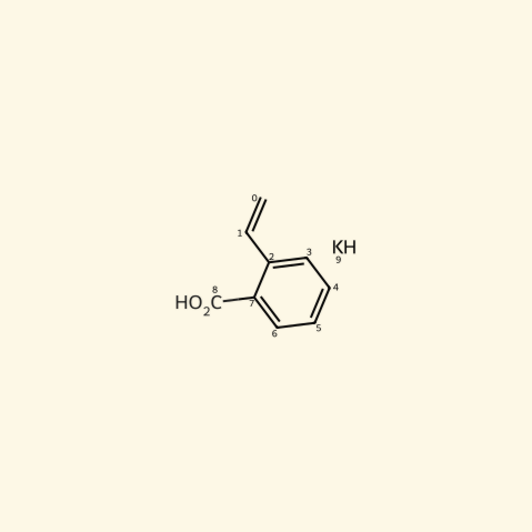 C=Cc1ccccc1C(=O)O.[KH]